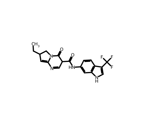 CCC1C=C2N=CC(C(=O)Nc3ccc4c(C(F)(F)F)c[nH]c4c3)C(=O)N2C1